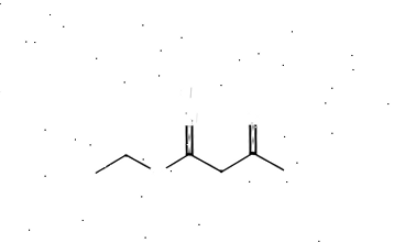 CCOC(=N)CC(C)=O.Cl